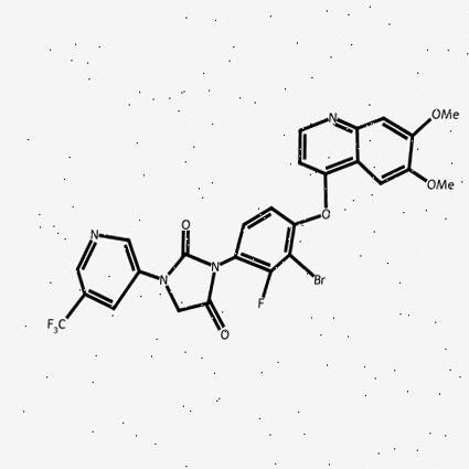 COc1cc2nccc(Oc3ccc(N4C(=O)CN(c5cncc(C(F)(F)F)c5)C4=O)c(F)c3Br)c2cc1OC